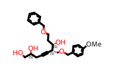 COc1ccc(COC[C@H](C#CC[C@H](O)CO)[C@@H](O)CCOCc2ccccc2)cc1